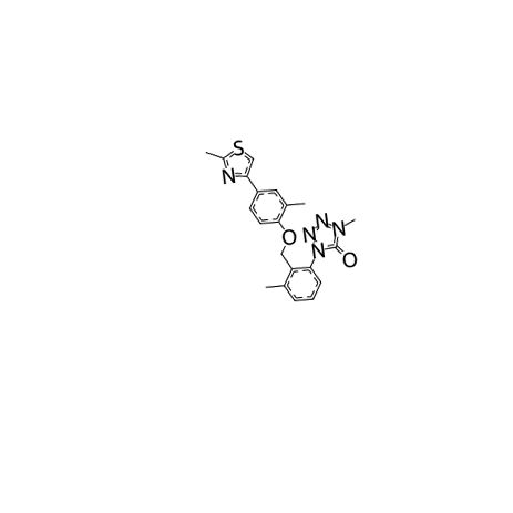 Cc1nc(-c2ccc(OCc3c(C)cccc3-n3nnn(C)c3=O)c(C)c2)cs1